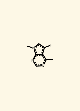 Cc1ncnc2c1c(F)cn2I